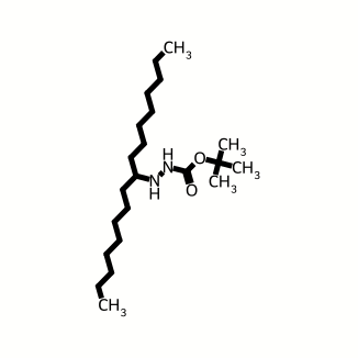 CCCCCCCCC(CCCCCCCC)NNC(=O)OC(C)(C)C